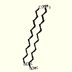 CCCCCCCCCCCCCCCCCCCCCC(=O)O.CCCCCCCCCCCCCCCCCCCCCCN